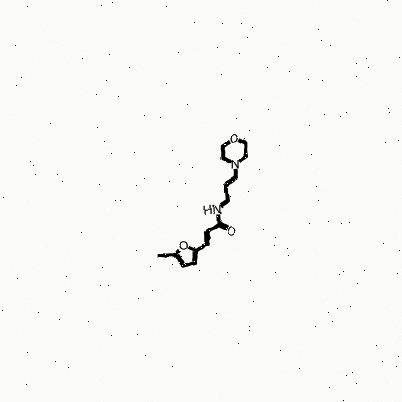 Cc1ccc(C=CC(=O)NCCCN2CCOCC2)o1